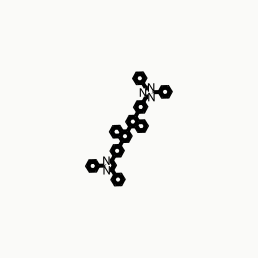 c1ccc(-c2cc(-c3ccc(-c4ccc(-c5ccc(-c6ccc(-c7nc(-c8ccccc8)nc(-c8ccccc8)n7)cc6)c6ccccc56)c5ccccc45)cc3)nc(-c3ccccc3)n2)cc1